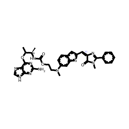 CC(Oc1nc(N)nc2[nH]cnc12)[C@@H](C)NC(=O)OCCN(C)c1ccc2cc(/C=C3/N=C(c4ccccc4)N(C)C3=O)sc2c1